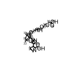 Cc1c(-c2cccnc2C(=O)O)cnn1CC12CC3(C)CC(C)(C1)CC(OCCNCCOCCOCC(=O)O)(C3)C2